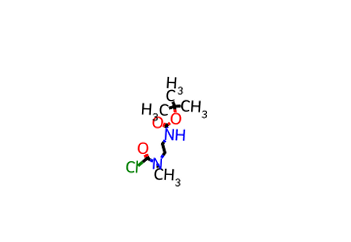 CN(CCNC(=O)OC(C)(C)C)C(=O)Cl